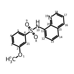 COc1cccc(S(=O)(=O)Nc2cccc3cccnc23)c1